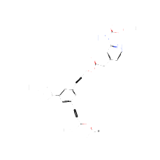 CC(C(=O)O)c1cc(C#CCOC(=O)Cc2ccnc(NC(=O)OC(C)(C)C)c2)cc(C#CC(O[SiH](C)C)C(C)(C)C)c1